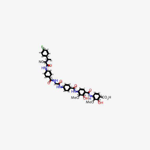 COc1c(NC(=O)c2ccc(NC(=O)c3ccc(NC(=O)CNC(=O)c4ccc(NC(=O)/C(C#N)=C(\C)c5ccc(F)cc5)cc4)cc3)c(OC)c2O)ccc(C(=O)O)c1O